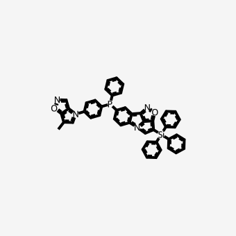 Cc1cn(-c2ccc(P(c3ccccc3)c3ccc4c(c3)c3noc5c([Si](c6ccccc6)(c6ccccc6)c6ccccc6)cn4c53)cc2)c2cnoc12